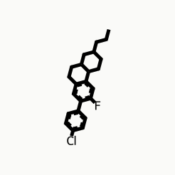 CCCC1CCC2c3cc(F)c(-c4ccc(Cl)cc4)cc3CCC2C1